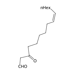 CCCCCC/C=C\CCCCCC(=O)CC=O